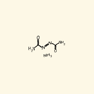 N.NC(=O)N=NC(N)=O